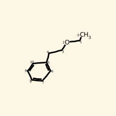 CCOCCc1cc[c]cc1